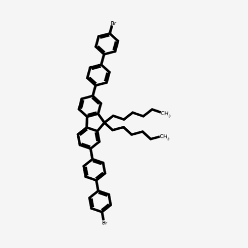 CCCCCCC1(CCCCCC)c2cc(-c3ccc(-c4ccc(Br)cc4)cc3)ccc2-c2ccc(-c3ccc(-c4ccc(Br)cc4)cc3)cc21